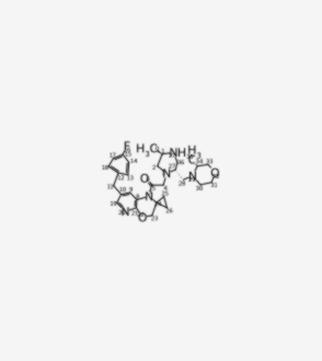 C[C@@H]1CN(CC(=O)N2c3cc(Cc4ccc(F)cc4)cnc3OCC23CC3)[C@@H](CN2CCOC[C@H]2C)CN1